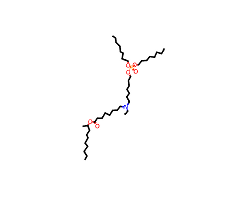 CCCCCCCCOP(=O)(OCCCCCCCC)OCCCCCCCN(CC)CCCCCCCC(=O)OC(C)CCCCCCCC